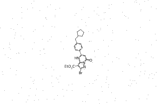 CCOC(=O)c1c(Br)nn2c(=O)cc(-c3ccc(CC4CCCC4)cc3)[nH]c12